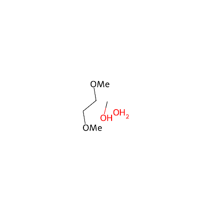 CO.COCCOC.O